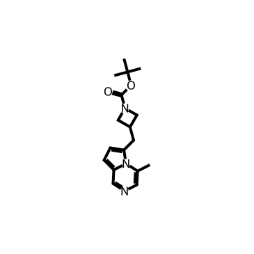 Cc1cncc2ccc(CC3CN(C(=O)OC(C)(C)C)C3)n12